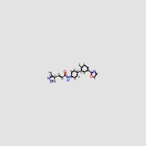 Cc1ccc(-c2ncco2)cc1-c1ccc(NC(=O)C=Cc2snnc2C)cc1